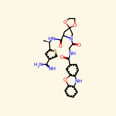 C[C@@H](NC(=O)C1CC2(CN1C(=O)CNC(=O)c1ccc3c(c1)Oc1ccccc1N3)OCCO2)c1cc(C(=N)N)cs1